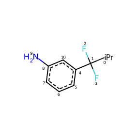 CC(C)C(F)(F)c1cccc(N)c1